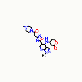 CCn1ncc2c(NC3CCOC(=O)C3)c(-c3nc(CC(=O)N4CCN(C)CC4)no3)cnc21